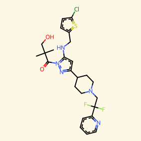 CC(C)(CO)C(=O)n1nc(C2CCN(CC(F)(F)c3ccccn3)CC2)cc1NCc1ccc(Cl)s1